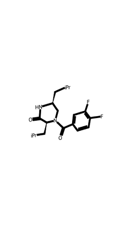 CC(C)C[C@H]1CN(C(=O)c2ccc(F)c(F)c2)[C@@H](CC(C)C)C(=O)N1